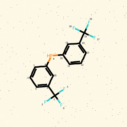 FC(F)(F)c1cccc(Pc2cccc(C(F)(F)F)c2)c1